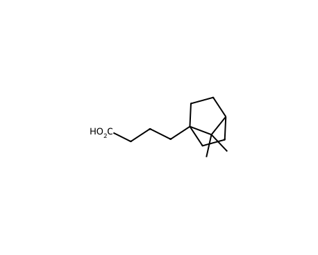 CC1(C)C2CCC1(CCCC(=O)O)CC2